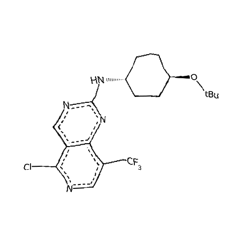 CC(C)(C)O[C@H]1CC[C@H](Nc2ncc3c(Cl)ncc(C(F)(F)F)c3n2)CC1